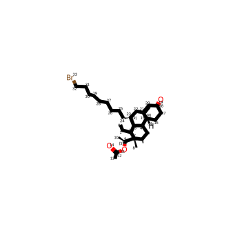 CCC1C2C(CC[C@]1(C)[C@H](C)OC(C)=O)[C@H]1CCC(=O)C=C1C[C@H]2CCCCCCCCCBr